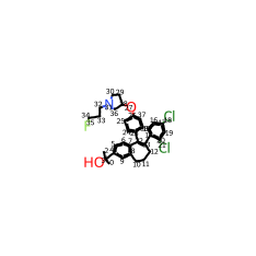 CC(C)(O)c1ccc2c(c1)CCCC(c1ccc(Cl)cc1Cl)=C2c1ccc(OC2CCN(CCCF)C2)cc1